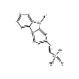 CCn1c2ccccc2c2ccc(/C=C/P(=O)(O)O)cc21